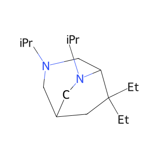 CCC1(CC)CC2CN(C(C)C)CC1N(C(C)C)C2